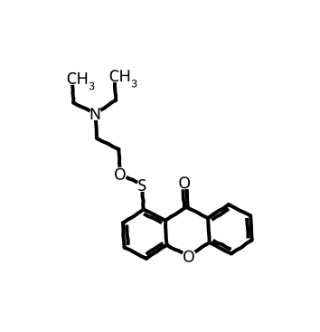 CCN(CC)CCOSc1cccc2oc3ccccc3c(=O)c12